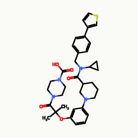 CC(C)(Oc1cccc(N2CCCC(C(=O)N(Cc3ccc(-c4ccsc4)cc3)C3CC3)C2)c1)C(=O)N1CCN(C(=O)O)CC1